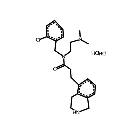 CN(C)CCN(Cc1ccccc1Cl)C(=O)CCc1cccc2c1CCNC2.Cl.Cl